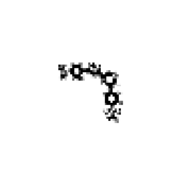 CC(C)S(=O)(=O)c1ccc(-c2cncc(-c3cc(-c4ccc([N+](=O)[O-])cn4)no3)n2)cc1